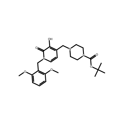 COc1cccc(OC)c1Cn1ccc(CN2CCN(C(=O)OC(C)(C)C)CC2)c(O)c1=O